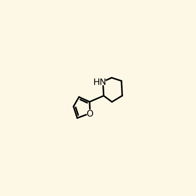 c1coc(C2CCCCN2)c1